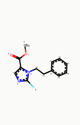 CCCCOC(=O)c1cnc(F)n1CCc1ccccc1